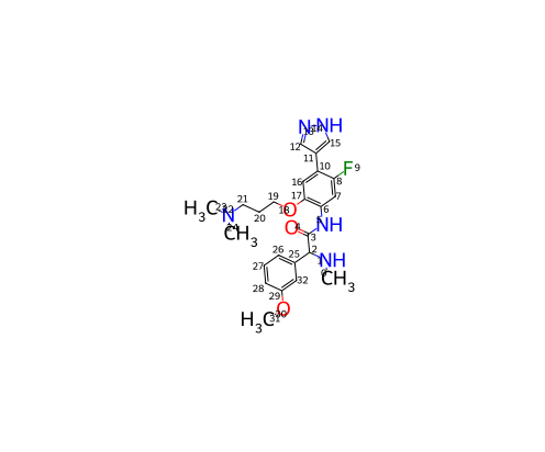 CNC(C(=O)Nc1cc(F)c(-c2cn[nH]c2)cc1OCCCN(C)C)c1cccc(OC)c1